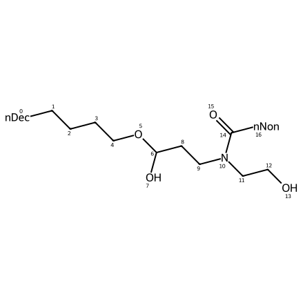 CCCCCCCCCCCCCCOC(O)CCN(CCO)C(=O)CCCCCCCCC